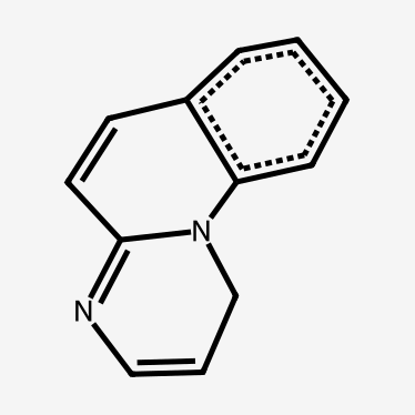 C1=CN=C2C=Cc3ccccc3N2C1